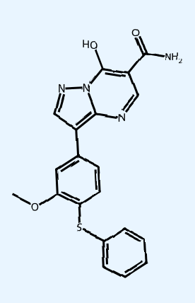 COc1cc(-c2cnn3c(O)c(C(N)=O)cnc23)ccc1Sc1ccccc1